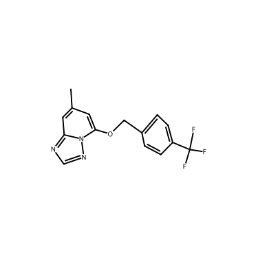 Cc1cc(OCc2ccc(C(F)(F)F)cc2)n2ncnc2c1